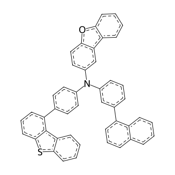 c1cc(-c2cccc3ccccc23)cc(N(c2ccc(-c3cccc4sc5ccccc5c34)cc2)c2ccc3oc4ccccc4c3c2)c1